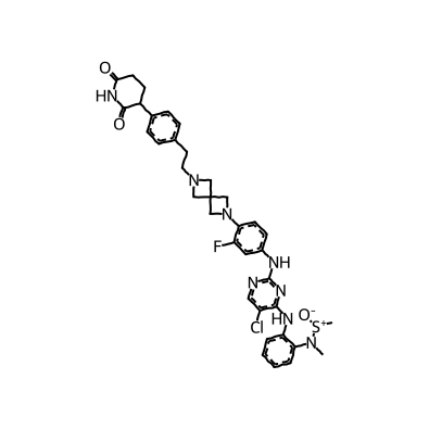 CN(c1ccccc1Nc1nc(Nc2ccc(N3CC4(CN(CCc5ccc(C6CCC(=O)NC6=O)cc5)C4)C3)c(F)c2)ncc1Cl)[S+](C)[O-]